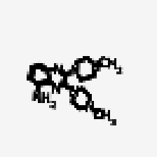 CN1CCN(c2nc3cccc(N)c3nc2N2CCN(C)CC2)CC1